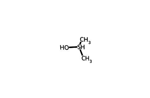 C[SH](C)O